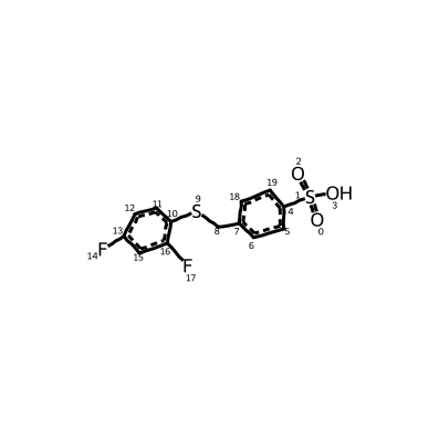 O=S(=O)(O)c1ccc(CSc2ccc(F)cc2F)cc1